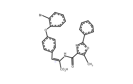 Cc1oc(-c2ccccc2)nc1C(=O)N/C(=C\c1ccc(Oc2ccccc2Br)cc1)C(=O)O